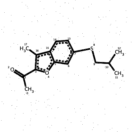 CC(=O)c1oc2cc(SCC(C)C)ccc2c1C